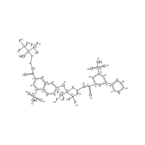 O=C(OCCC(O)(C(F)(F)F)C(F)(F)F)c1cc(S(=O)(=O)O)c2ccc(OC(CCOC(=O)c3cc(-c4ccccc4)cc(S(=O)(=O)O)c3)(C(F)(F)F)C(F)(F)F)cc2c1